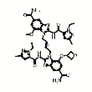 CCn1nc(C)cc1C(=O)Nc1nc2cc(C(N)=O)cc(OC)c2n1C/C=C/Cn1c(NC(=O)c2cc(C)nn2CC)nc2cc(C(N)=O)cc(OC3COC3)c21